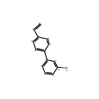 C=Cc1ccc(-c2cccc(Br)c2)cc1